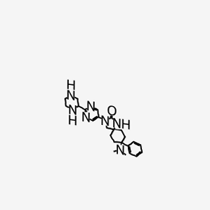 CN(C)[C@]1(c2ccccc2)CC[C@@]2(CC1)CN(c1cnc(C3CNCCN3)nc1)C(=O)N2